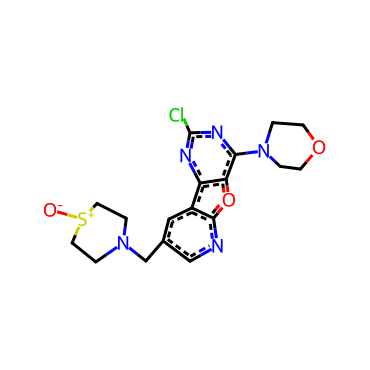 [O-][S+]1CCN(Cc2cnc3oc4c(N5CCOCC5)nc(Cl)nc4c3c2)CC1